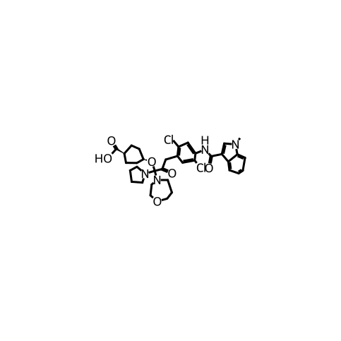 Cn1cc(C(=O)Nc2cc(Cl)c(CC(=O)C(O[C@H]3CC[C@H](C(=O)O)CC3)(N3CCCC3)N3CCCOCC3)cc2Cl)c2ccccc21